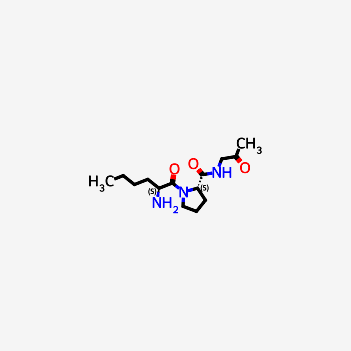 CCCC[C@H](N)C(=O)N1CCC[C@H]1C(=O)NCC(C)=O